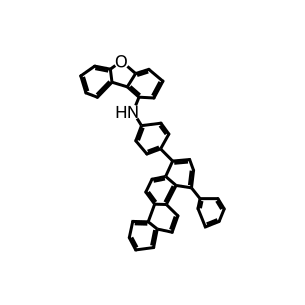 c1ccc(-c2ccc(-c3ccc(Nc4cccc5oc6ccccc6c45)cc3)c3ccc4c5ccccc5ccc4c23)cc1